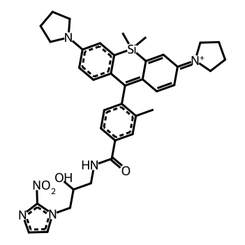 Cc1cc(C(=O)NCC(O)Cn2ccnc2[N+](=O)[O-])ccc1C1=C2C=CC(=[N+]3CCCC3)C=C2[Si](C)(C)c2cc(N3CCCC3)ccc21